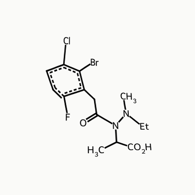 CCN(C)N(C(=O)Cc1c(F)ccc(Cl)c1Br)C(C)C(=O)O